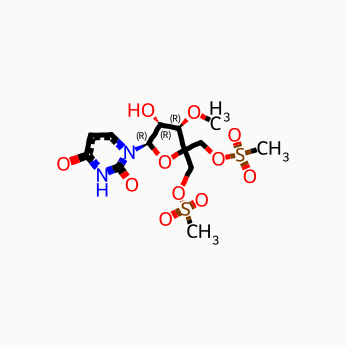 CO[C@@H]1[C@@H](O)[C@H](n2ccc(=O)[nH]c2=O)OC1(COS(C)(=O)=O)COS(C)(=O)=O